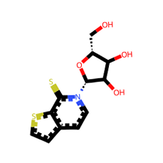 OC[C@H]1O[C@@H](n2ccc3ccsc3c2=S)C(O)C1O